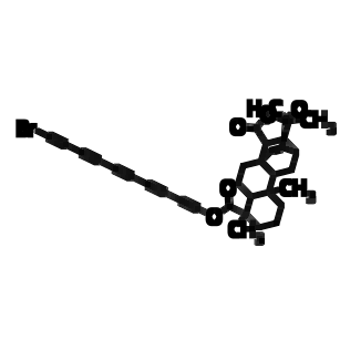 CC(C)C1=CC23CCC4C(C)(C(=O)OC#CC#CC#CC#CC#CBr)CCCC4(C)C2CC1C1C(=O)OC(=O)C13